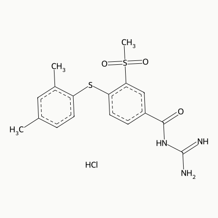 Cc1ccc(Sc2ccc(C(=O)NC(=N)N)cc2S(C)(=O)=O)c(C)c1.Cl